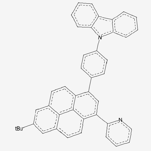 CC(C)(C)c1cc2ccc3c(-c4ccc(-n5c6ccccc6c6ccccc65)cc4)cc(-c4ccccn4)c4ccc(c1)c2c34